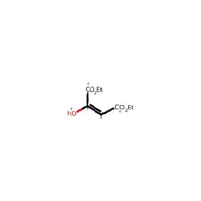 CCOC(=O)/C=C(/O)C(=O)OCC